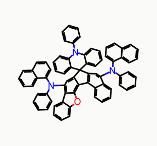 c1ccc(N2c3ccccc3C3(c4ccccc42)c2cc(N(c4ccccc4)c4cccc5ccccc45)c4ccccc4c2-c2c3cc(N(c3ccccc3)c3cccc4ccccc34)c3c2oc2ccccc23)cc1